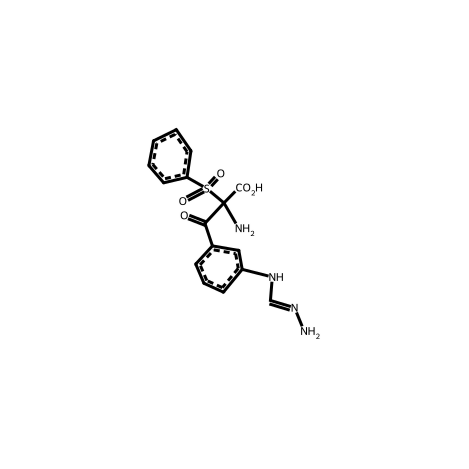 NN=CNc1cccc(C(=O)C(N)(C(=O)O)S(=O)(=O)c2ccccc2)c1